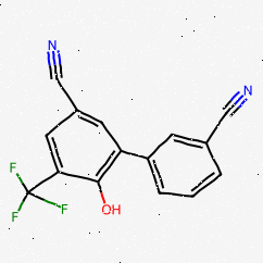 N#Cc1cccc(-c2cc(C#N)cc(C(F)(F)F)c2O)c1